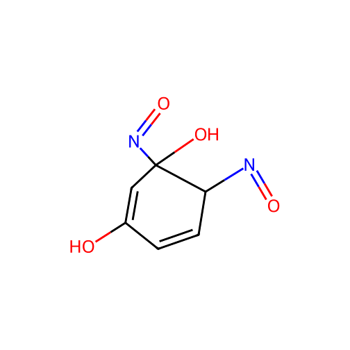 O=NC1C=CC(O)=CC1(O)N=O